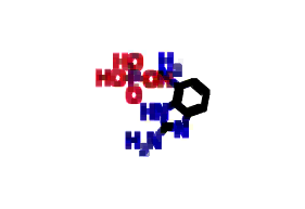 Nc1nc2cccc(N)c2[nH]1.O=P(O)(O)O